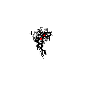 Cn1ccc(-c2ccc(-c3cnn4c(N)c(S(C)(=O)=O)c([C@@H]5C[C@H]6CC[C@@H](C5)N6C(=O)c5nnc[nH]5)nc34)cn2)n1